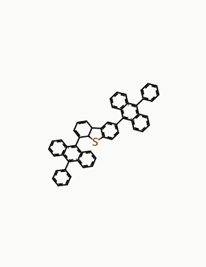 C1=CC2c3cc(-c4c5ccccc5c(-c5ccccc5)c5ccccc45)ccc3SC2C(c2c3ccccc3c(-c3ccccc3)c3ccccc23)=C1